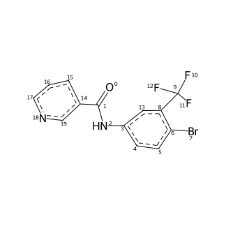 O=C(Nc1ccc(Br)c(C(F)(F)F)c1)c1cccnc1